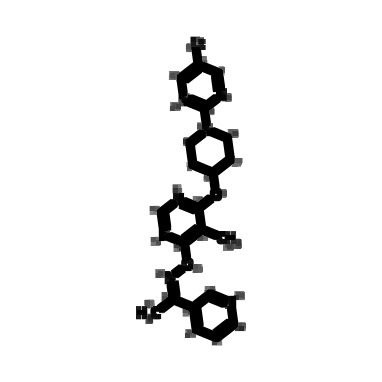 CCc1cnc(N2CCC(Oc3ncnc(ON=C(C)c4cccnc4)c3C)CC2)nc1